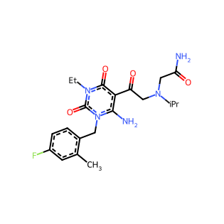 CCn1c(=O)c(C(=O)CN(CC(N)=O)C(C)C)c(N)n(Cc2ccc(F)cc2C)c1=O